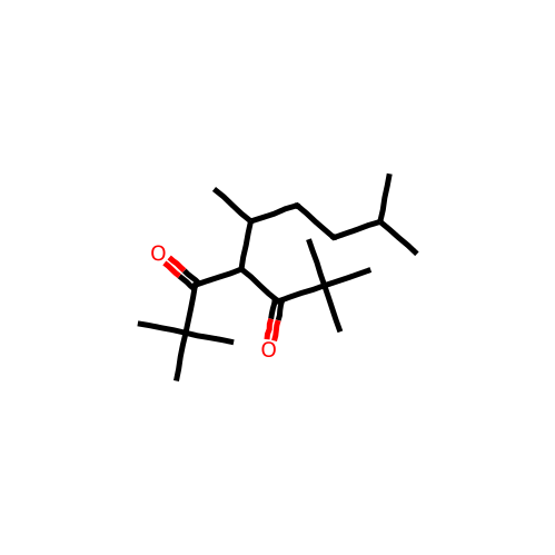 CC(C)CCC(C)C(C(=O)C(C)(C)C)C(=O)C(C)(C)C